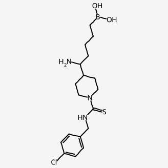 NC(CCCCB(O)O)C1CCN(C(=S)NCc2ccc(Cl)cc2)CC1